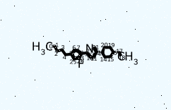 CCCCCc1ccc(-c2ccc([C@H]3CC[C@H](CC)CC3)cn2)c(F)c1